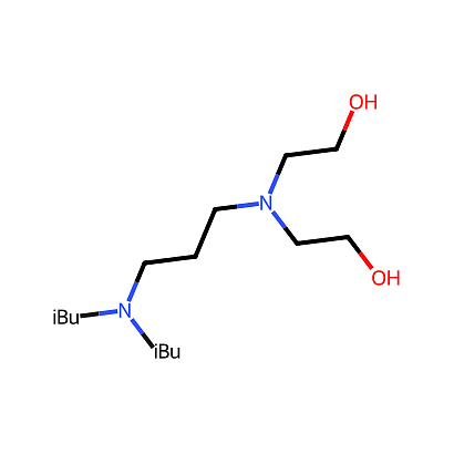 CCC(C)N(CCCN(CCO)CCO)C(C)CC